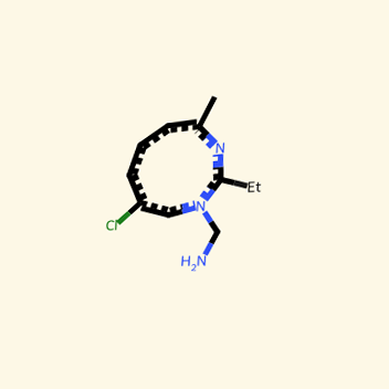 CCc1nc(C)cccc(Cl)cn1CN